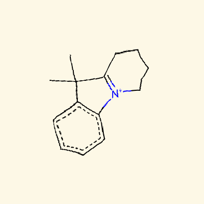 CC1(C)C2=[N+](CCCC2)c2ccccc21